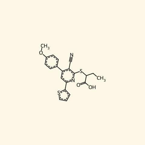 CCC(Sc1nc(-c2cccs2)cc(-c2ccc(OC)cc2)c1C#N)C(=O)O